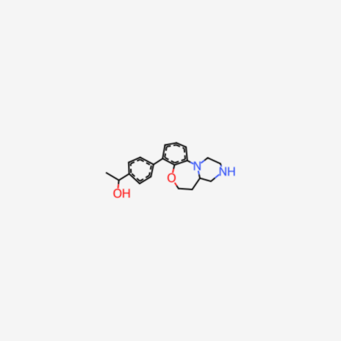 CC(O)c1ccc(-c2cccc3c2OCCC2CNCCN32)cc1